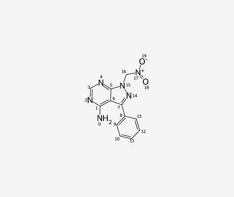 Nc1ncnc2c1c(-c1ccccc1)nn2C[N+](=O)[O-]